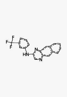 FC(F)(F)c1cccc(Nc2cnc3cc4ccccc4cc3n2)c1